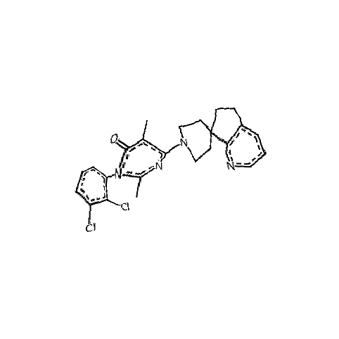 Cc1c(N2CCC3(CCc4cccnc43)CC2)nc(C)n(-c2cccc(Cl)c2Cl)c1=O